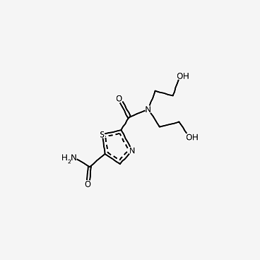 NC(=O)c1cnc(C(=O)N(CCO)CCO)s1